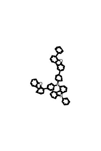 c1ccc(-c2cccc3c2oc2ccc(-c4ccc(N(c5ccc(-c6cccc7c6oc6ccccc67)cc5)c5cccc6c5c5ccccc5n6-c5ccccc5)cc4)cc23)cc1